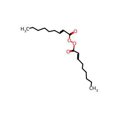 CCCCCCC=CC(=O)OOC(=O)C=CCCCCCC